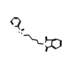 O=C1c2ccccc2C(=O)N1CCCCNS(=O)(=O)c1ccccn1